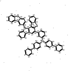 c1ccc(-c2ccc(N(c3ccc(-c4ccccc4)cc3)c3cccc(-c4cc5c6ccccc6n(-c6ccc7sc8ccccc8c7c6)c5c5c4sc4ccccc45)c3)cc2)cc1